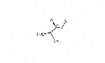 CC(C)[C@@H](O)CCl